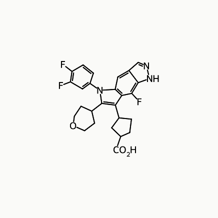 O=C(O)C1CCC(c2c(C3CCOCC3)n(-c3ccc(F)c(F)c3)c3cc4cn[nH]c4c(F)c23)C1